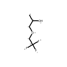 CC(O)CO[CH]C(F)(F)F